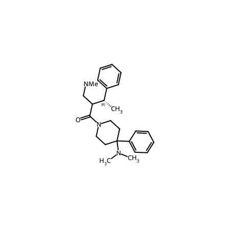 CNCC(C(=O)N1CCC(c2ccccc2)(N(C)C)CC1)[C@@H](C)c1ccccc1